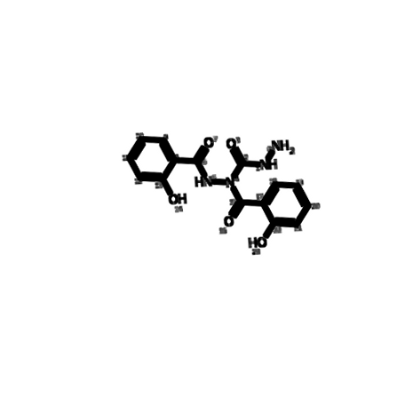 NNC(=O)N(NC(=O)c1ccccc1O)C(=O)c1ccccc1O